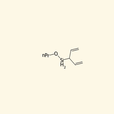 C=CC(C=C)[SiH2]OCCC